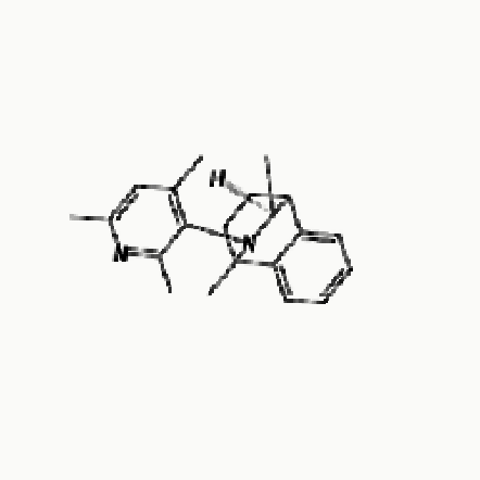 Cc1cc(C)c(N2[C@@H](C)C3CCC2(C)c2ccccc23)c(C)n1